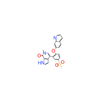 Cn1cc(-c2cc(S(C)(=O)=O)ccc2Oc2ccc3cccnc3c2)c2cc[nH]c2c1=O